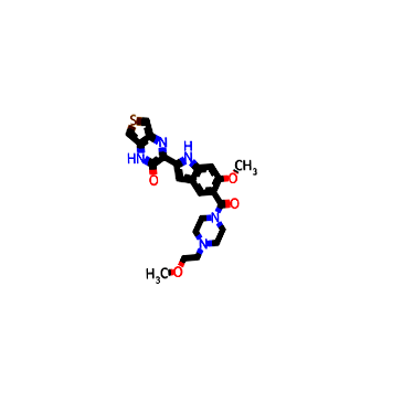 COCCN1CCN(C(=O)c2cc3cc(-c4nc5cscc5[nH]c4=O)[nH]c3cc2OC)CC1